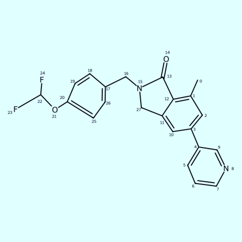 Cc1cc(-c2cccnc2)cc2c1C(=O)N(Cc1ccc(OC(F)F)cc1)C2